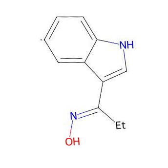 CCC(=NO)c1c[nH]c2cc[c]cc12